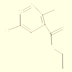 CCOC(=O)c1cc(Cl)nnc1Cl